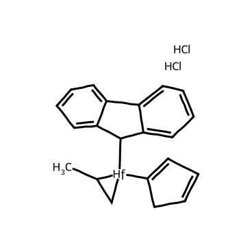 C[CH]1[CH2][Hf]1([C]1=CC=CC1)[CH]1c2ccccc2-c2ccccc21.Cl.Cl